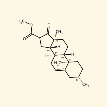 COC(=O)C1C[C@H]2[C@@H]3CC=C4C[C@@H](C)CC[C@]4(C)[C@H]3CC[C@]2(C)C1=O